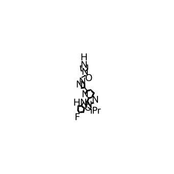 CC(C)Oc1cc(F)ccc1Nc1ncnc2ccc(-c3cnn(CC(=O)N4CCNCC4)c3)nc12